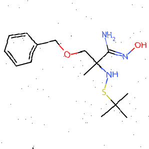 CC(C)(C)SNC(C)(COCc1ccccc1)/C(N)=N/O